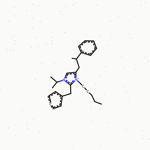 CCCCC[n+]1c(CC(C)c2ccccc2)cn(C(C)C)c1Cc1ccccc1